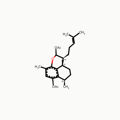 CC(=O)Oc1cc(C)c2c3c1[C@H](C)CC[C@H]3[C@H](CCC=C(C)C)C(OC(C)=O)O2